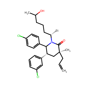 C=CC[C@@]1(C)C[C@H](c2cccc(Cl)c2)C(c2ccc(Cl)cc2)N([C@@H](CC)CCCC(C)O)C1=O